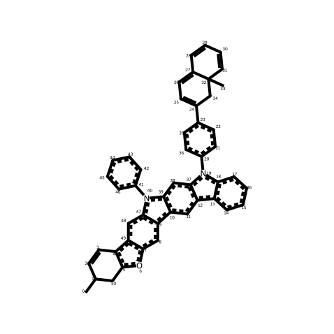 CC1C=Cc2c(oc3cc4c5cc6c7ccccc7n(-c7ccc(C8=CC=C9C=CC=CC9(C)C8)cc7)c6cc5n(-c5ccccc5)c4cc23)C1